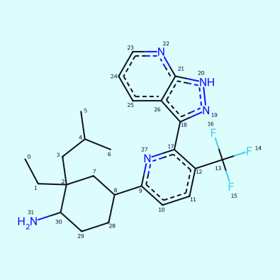 CCC1(CC(C)C)CC(c2ccc(C(F)(F)F)c(-c3n[nH]c4ncccc34)n2)CCC1N